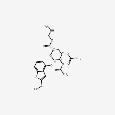 CNCOC(=O)[C@@H]1C[C@H](OC(C)=O)[C@@H](OC(C)=O)[C@H](Oc2cccc3oc(CO)cc23)O1